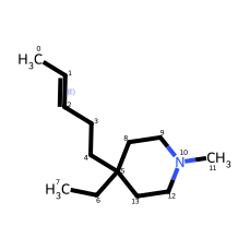 C/C=C/CCC1(CC)CCN(C)CC1